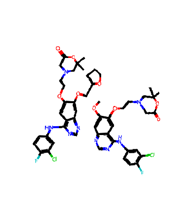 CC1(C)CN(CCOc2cc3c(Nc4ccc(F)c(Cl)c4)ncnc3cc2OCC2CCCO2)CC(=O)O1.COc1cc2ncnc(Nc3ccc(F)c(Cl)c3)c2cc1OCCN1CC(=O)OC(C)(C)C1